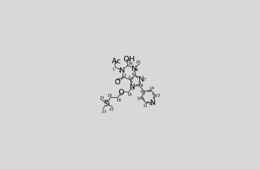 CC(=O)CN1C(=O)c2c(nc(-c3ccncc3)n2COCC[Si](C)(C)C)N(C)C1O